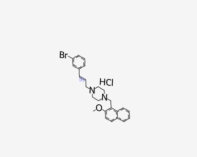 COc1ccc2ccccc2c1CN1CCN(C/C=C/c2cccc(Br)c2)CC1.Cl